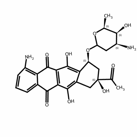 CC(=O)[C@]1(O)Cc2c(O)c3c(c(O)c2[C@@H](OC2C[C@H](N)[C@H](O)[C@H](C)O2)C1)C(=O)c1c(N)cccc1C3=O